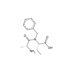 CC[C@@H](C(=O)O)N(Cc1ccccc1)C(=O)[C@@H](C)N